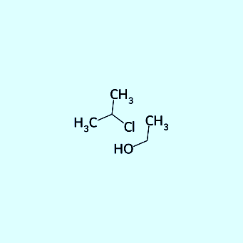 CC(C)Cl.CCO